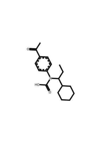 CC[C](C1CCCCC1)N(C(=O)O)c1ccc(C(C)=O)cc1